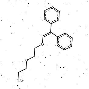 CC(=O)OCCOCCOC=C(c1ccccc1)c1ccccc1